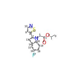 CCOC(=O)Cn1c(-c2ccns2)cc2cc(F)ccc21